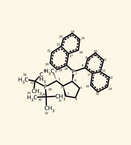 C[C@H]([C@@H]1CCC[C@@H]1P(c1cccc2ccccc12)c1cccc2ccccc12)P(C(C)(C)C)C(C)(C)C